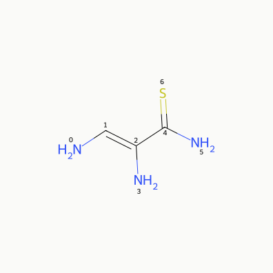 N/C=C(\N)C(N)=S